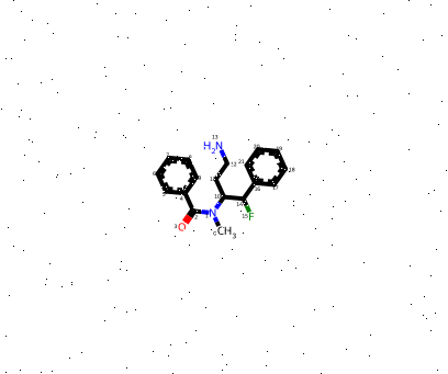 CN(C(=O)c1ccccc1)C(CCN)C(F)c1ccccc1